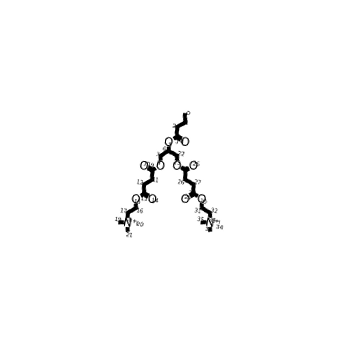 CCCC(=O)OC(COC(=O)CCC(=O)OCC[N+](C)(C)C)COC(=O)CCC(=O)OCC[N+](C)(C)C